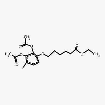 CCOC(=O)CCCCCOc1ccc(I)c(OC(C)=O)c1OC(C)=O